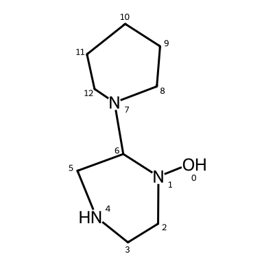 ON1CCNCC1N1CCCCC1